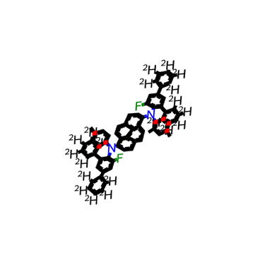 [2H]c1c([2H])c([2H])c(-c2cc(F)c(N(c3ccc(C)cc3C)c3ccc4ccc5c(N(c6ccc(C)cc6C)c6c(F)cc(-c7c([2H])c([2H])c([2H])c([2H])c7[2H])cc6-c6c([2H])c([2H])c([2H])c([2H])c6[2H])ccc6ccc3c4c65)c(-c3c([2H])c([2H])c([2H])c([2H])c3[2H])c2)c([2H])c1[2H]